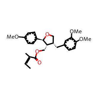 C/C=C(/C)C(=O)OC[C@H]1[C@@H](Cc2ccc(OC)c(OC)c2)CO[C@@H]1c1ccc(OC)cc1